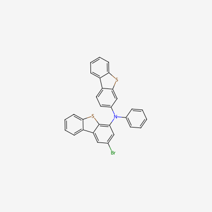 Brc1cc(N(c2ccccc2)c2ccc3c(c2)sc2ccccc23)c2sc3ccccc3c2c1